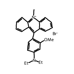 CCN(CC)c1ccc(-c2c3ccccc3[n+](C)c3ccccc23)c(OC)c1.[Br-]